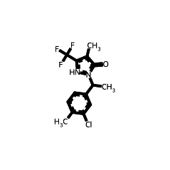 Cc1ccc(C(C)n2[nH]c(C(F)(F)F)c(C)c2=O)cc1Cl